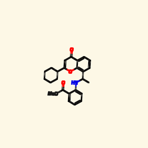 COC(=O)c1ccccc1NC(C)c1cccc2c(=O)cc(C3CCCCC3)oc12